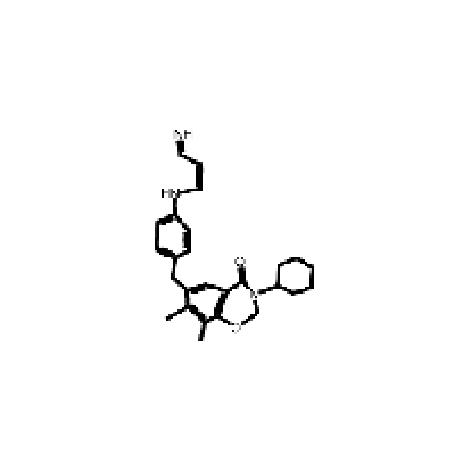 Cc1c(Cc2ccc(N/C=C\C=N)cc2)cc2c(c1C)OCN(C1CCCCC1)C2=O